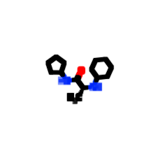 C[C@@H](NC1CCCCC1)C(=O)NC1CCCC1